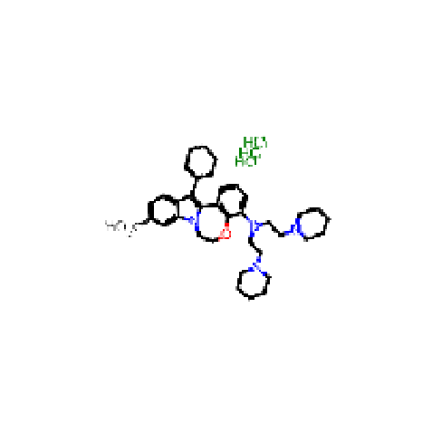 Cl.Cl.Cl.O=C(O)c1ccc2c(C3CCCCC3)c3n(c2c1)CCOc1c-3cccc1N(CCN1CCCCC1)CCN1CCCCC1